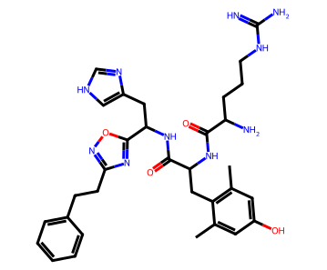 Cc1cc(O)cc(C)c1CC(NC(=O)C(N)CCCNC(=N)N)C(=O)NC(Cc1c[nH]cn1)c1nc(CCc2ccccc2)no1